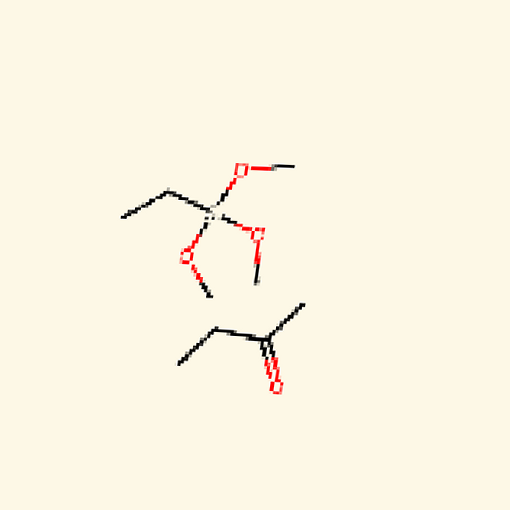 CCC(C)=O.CC[Si](OC)(OC)OC